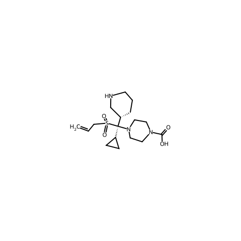 C=CCS(=O)(=O)[C@@](C1CC1)([C@H]1CCCNC1)N1CCN(C(=O)O)CC1